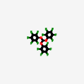 Fc1c(F)c(F)c(OB(Oc2c(F)c(F)c(F)c(F)c2F)Oc2c(F)c(F)c(F)c(F)c2F)c(F)c1F